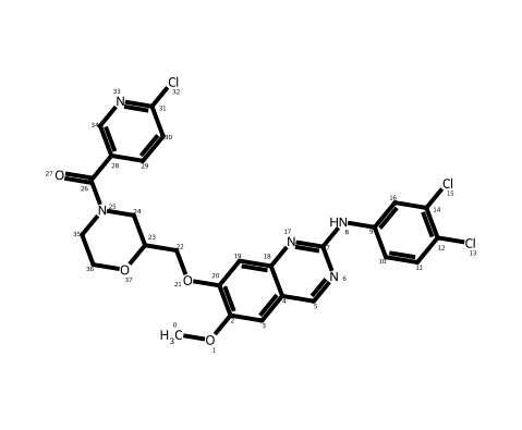 COc1cc2cnc(Nc3ccc(Cl)c(Cl)c3)nc2cc1OCC1CN(C(=O)c2ccc(Cl)nc2)CCO1